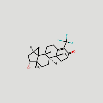 C[C@]12CCC(=O)C(C(F)(F)F)=C1CC[C@@H]1[C@@H]2CC[C@]2(C)[C@H](O)C[C@H]3C[C@@]312